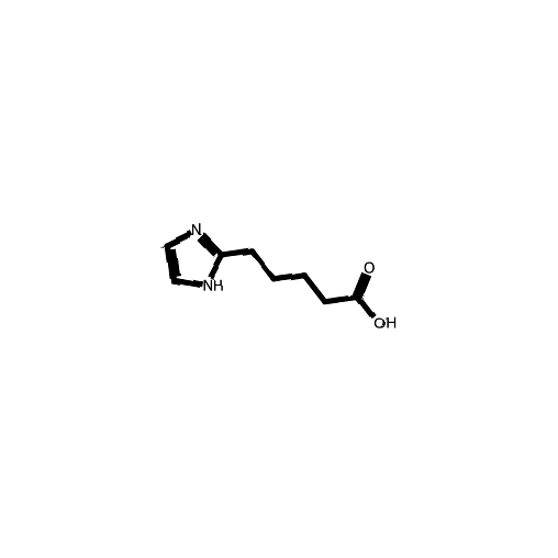 O=C(O)CCCCc1n[c]c[nH]1